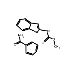 COC(=O)Nc1nc2ccccc2[nH]1.NC(=O)c1ccccc1